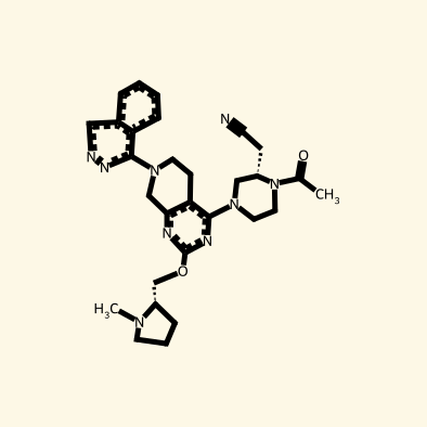 CC(=O)N1CCN(c2nc(OC[C@@H]3CCCN3C)nc3c2CCN(c2nncc4ccccc24)C3)C[C@@H]1CC#N